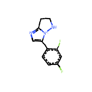 Fc1ccc(C2=CN=C3CCN[N+]23)c(F)c1